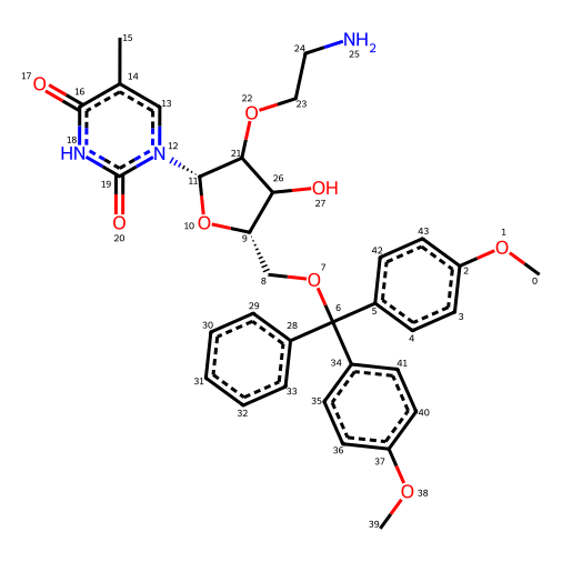 COc1ccc(C(OC[C@@H]2O[C@H](n3cc(C)c(=O)[nH]c3=O)C(OCCN)C2O)(c2ccccc2)c2ccc(OC)cc2)cc1